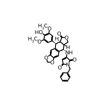 COc1cc([C@@H]2c3cc4c(cc3[C@@H](NC3=CC(=O)N(Cc5ccccc5)C3=O)[C@H]3COC(=O)[C@H]23)OCO4)cc(OC)c1O